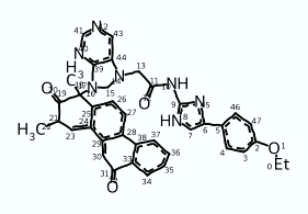 CCOc1ccc(-c2c[nH]c(NC(=O)CN3CN(C4(C)C(=O)C(C)C=c5c4ccc4c5=CC(=O)c5ccccc5-4)c4ncncc43)n2)cc1